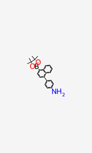 CC1(C)OB(c2ccc(-c3ccc(N)cc3)c3ccccc23)OC1(C)C